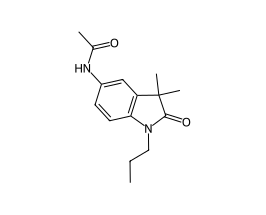 CCCN1C(=O)C(C)(C)c2cc(NC(C)=O)ccc21